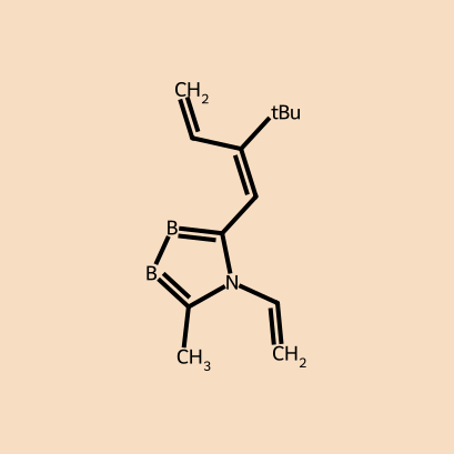 C=C/C(=C\c1bbc(C)n1C=C)C(C)(C)C